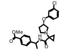 COC(=O)c1ccc(C(C)NC(=O)C2(N3CC[C@@H](Oc4cccc(Cl)c4)C3)CC2)cc1